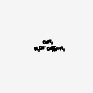 [AsH6+3].[GeH5-].[GeH5-].[GeH5-]